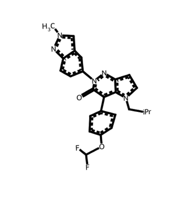 CC(C)Cn1ccc2nn(-c3ccc4nn(C)cc4c3)c(=O)c(-c3ccc(OC(F)F)cc3)c21